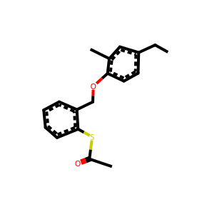 CCc1ccc(OCc2ccccc2SC(C)=O)c(C)c1